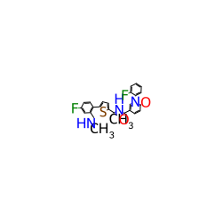 CNCc1cc(F)ccc1-c1ccc([C@@H](C)NC(=O)c2ccc(=O)n(-c3ccccc3F)c2)s1